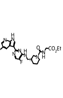 CCOC(=O)CNC(=O)N1CCC[C@@H](CNc2nc(-c3c[nH]c4ncc(I)cc34)ncc2F)C1